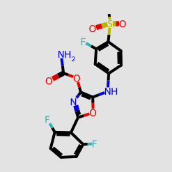 CS(=O)(=O)c1ccc(Nc2oc(-c3c(F)cccc3F)nc2OC(N)=O)cc1F